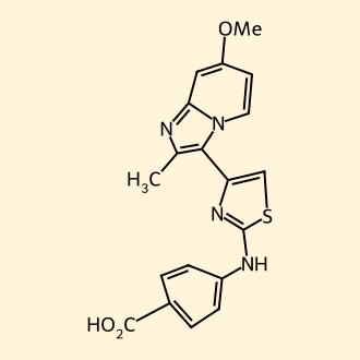 COc1ccn2c(-c3csc(Nc4ccc(C(=O)O)cc4)n3)c(C)nc2c1